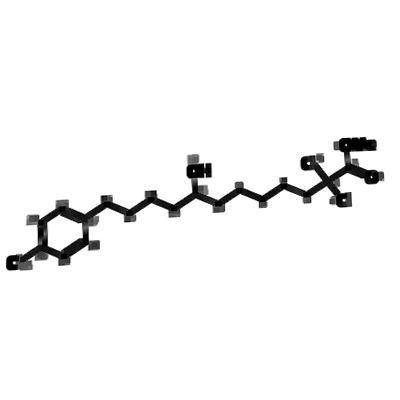 COC(=O)C(Cl)(Cl)CCCCCC(O)CCCCc1ccc(Cl)cc1